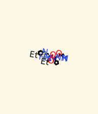 C=C(CN(C)C)C(=O)NCC(NC(=O)[C@H](Cc1nc2ccc(CC)cc2s1)NC(=O)CC)C1CCCC1